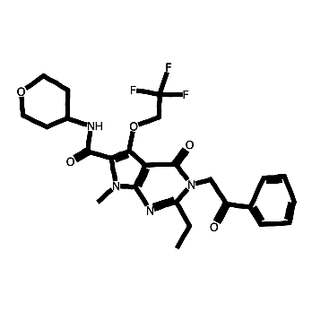 CCc1nc2c(c(OCC(F)(F)F)c(C(=O)NC3CCOCC3)n2C)c(=O)n1CC(=O)c1ccccc1